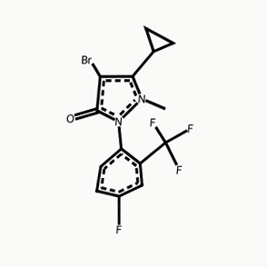 Cn1c(C2CC2)c(Br)c(=O)n1-c1ccc(F)cc1C(F)(F)F